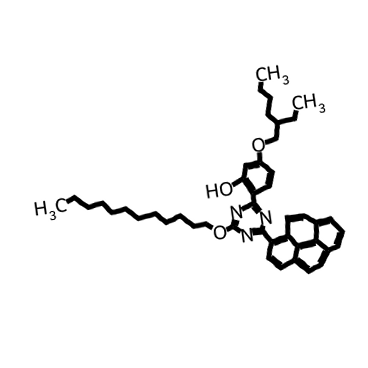 CCCCCCCCCCCCOc1nc(-c2ccc(OCC(CC)CCCC)cc2O)nc(-c2ccc3ccc4cccc5ccc2c3c45)n1